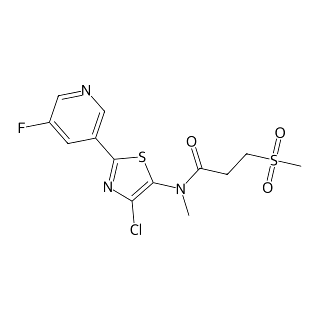 CN(C(=O)CCS(C)(=O)=O)c1sc(-c2cncc(F)c2)nc1Cl